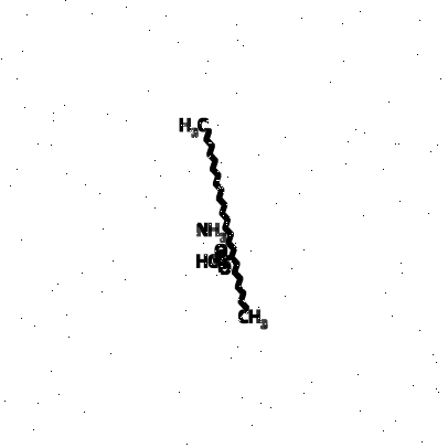 CCCCCCCCCCCCCCCCCCC(CCCCCCCC)S(=O)(=O)O.N